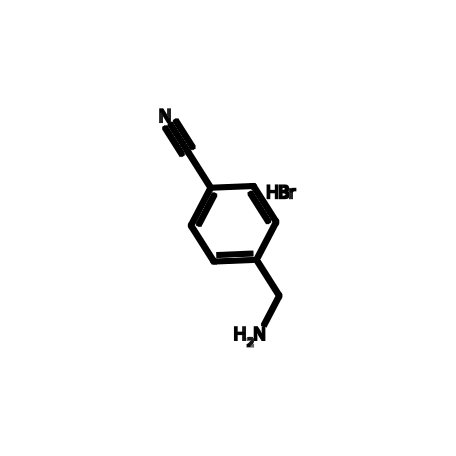 Br.N#Cc1ccc(CN)cc1